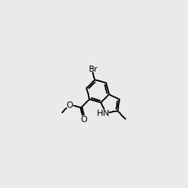 COC(=O)c1cc(Br)cc2cc(C)[nH]c12